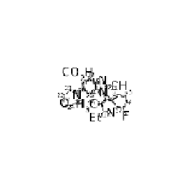 CCc1nc2c(F)cccc2c(-n2c(C)nc3c(C(=O)O)cc(N4CCOCC4)cc32)c1C